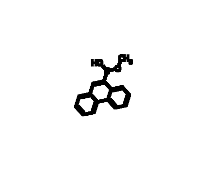 COB(O)c1cc2ccccc2c2ccccc12